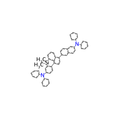 C[Si]1(C)c2cc(N(c3ccccc3)c3ccccc3)ccc2-c2ccc(-c3ccc4cc(N(c5ccccc5)c5ccccc5)ccc4c3)c3cccc1c23